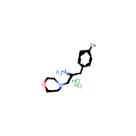 Cl.Cl.N#Cc1ccc(CC(N)CN2CCOCC2)cc1